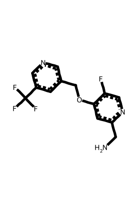 NCc1cc(OCc2cncc(C(F)(F)F)c2)c(F)cn1